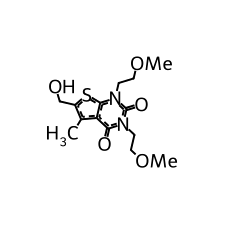 COCCn1c(=O)c2c(C)c(CO)sc2n(CCOC)c1=O